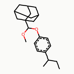 CCC(C)c1ccc(OC(OC)C23CC4CC(CC(C4)C2)C3)cc1